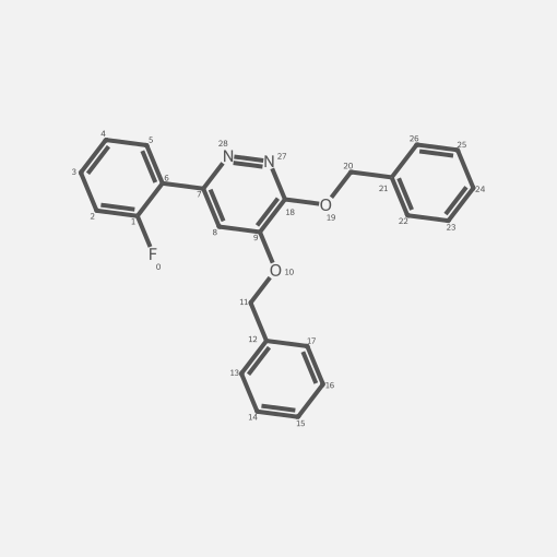 Fc1ccccc1-c1cc(OCc2ccccc2)c(OCc2ccccc2)nn1